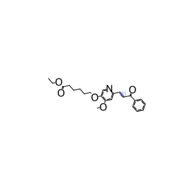 CCOC(=O)CCCCCOc1cnc(/C=C/C(=O)c2ccccc2)cc1OC